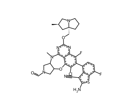 C[C@H]1CN2CCC[C@@]2(COc2nc3c4c(c(Cl)c(-c5ccc(F)c6sc(N)c(C#N)c56)c(F)c4n2)OC2CN(C=O)CC2N3C)C1